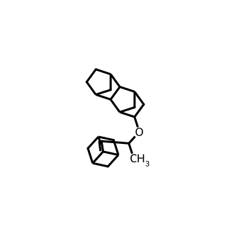 CC(OC1CC2CC1C1C3CCC(C3)C21)C1=C2C3CC(C1)CC2C3